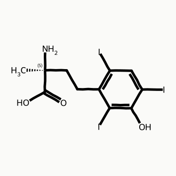 C[C@](N)(CCc1c(I)cc(I)c(O)c1I)C(=O)O